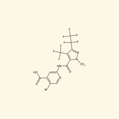 Cn1nc(C(F)(F)C(F)(F)F)c(C(F)(F)F)c1C(=O)Nc1cc(C(=O)O)c(Br)cn1